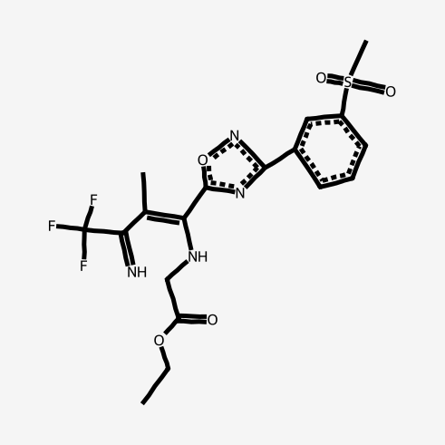 CCOC(=O)CN/C(=C(/C)C(=N)C(F)(F)F)c1nc(-c2cccc(S(C)(=O)=O)c2)no1